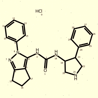 Cl.O=C(Nc1c2c(nn1-c1ccccc1)CCC2)NC1CNCC1c1ccccc1